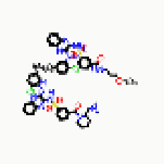 CCCCOCCCNC(=O)c1cccc(S(=O)(=O)Nc2nc3ccccc3nc2Nc2cc(OC)ccc2Cl)c1.COc1ccc(Cl)c(Nc2nc3ccccc3nc2NS(=O)(=O)c2cccc(C(=O)N3CCCCC3CN(C)C)c2)c1